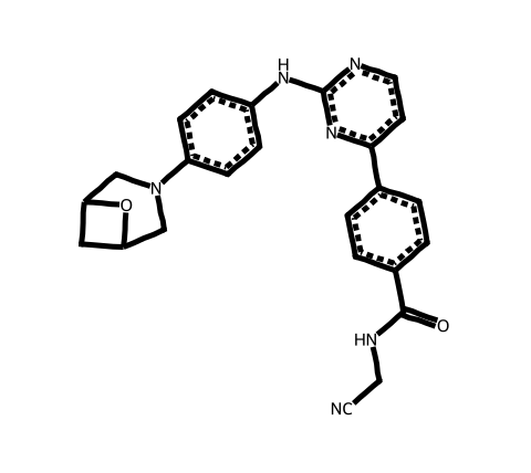 N#CCNC(=O)c1ccc(-c2ccnc(Nc3ccc(N4CC5CC(C4)O5)cc3)n2)cc1